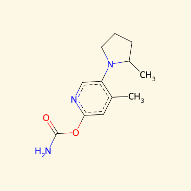 Cc1cc(OC(N)=O)ncc1N1CCCC1C